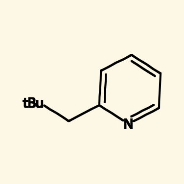 CC(C)(C)Cc1ccccn1